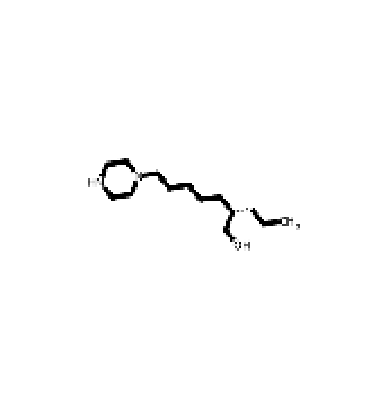 CCC[C@H](CO)CCCCCN1CCNCC1